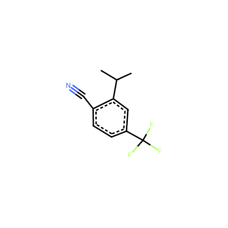 C[C](C)c1cc(C(F)(F)F)ccc1C#N